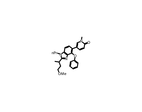 CCCn1c(C(C)CCOC)nc2c(Oc3ccccc3)c(-c3ccc(=O)n(C)c3)ccc21